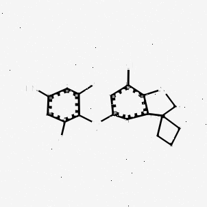 Cc1cc(Oc2c(Cl)cc(N)cc2Cl)cc2c1NCC21CCC1